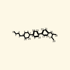 CCCCC1CCC(c2ccc(-c3ccc(CC(C)CC)cc3)cc2)CC1